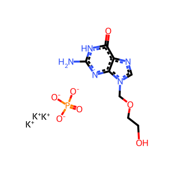 Nc1nc2c(ncn2COCCO)c(=O)[nH]1.O=P([O-])([O-])[O-].[K+].[K+].[K+]